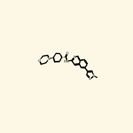 Cn1cc(-c2ccc3cnc(NC(=O)[C@H]4CC[C@H](N5CCOCC5)CC4)cc3c2)cn1